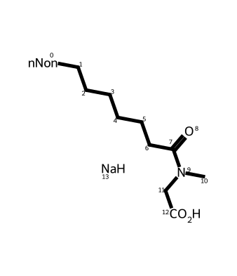 CCCCCCCCCCCCCCCC(=O)N(C)CC(=O)O.[NaH]